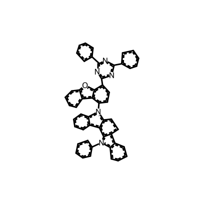 c1ccc(-c2nc(-c3ccccc3)nc(-c3ccc(-n4c5ccccc5c5c4ccc4c6ccccc6n(-c6ccccc6)c45)c4c3oc3ccccc34)n2)cc1